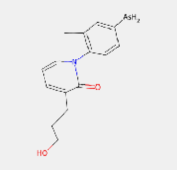 Cc1cc([AsH2])ccc1-n1cccc(CCCO)c1=O